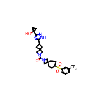 O=C(N1CC2(CCC(S(=O)(=O)c3cccc(C(F)(F)F)c3)CC2)C1)N1CC2(CC(c3nc(C4(O)CC4)n[nH]3)C2)C1